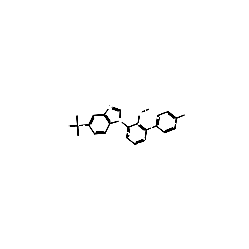 COc1c(-c2ccc(F)cc2)cccc1-n1cnc2cc(C(C)(C)O)ccc21